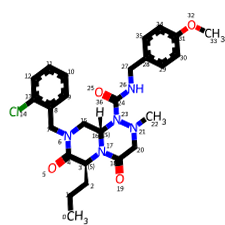 CCC[C@H]1C(=O)N(Cc2ccccc2Cl)C[C@H]2N1C(=O)CN(C)N2C(=O)NCc1ccc(OC)cc1